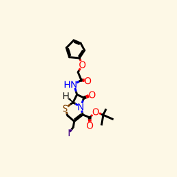 CC(C)(C)OC(=O)C1=C(CI)CS[C@@H]2C(NC(=O)COc3ccccc3)C(=O)N12